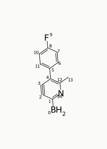 Bc1c#cc(-c2ccc(F)cc2)c(C)n1